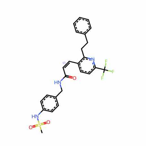 CS(=O)(=O)Nc1ccc(CNC(=O)/C=C\c2ccc(C(F)(F)F)nc2CCc2ccccc2)cc1